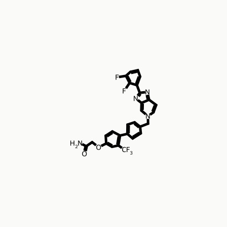 NC(=O)COc1ccc(-c2ccc(Cn3ccc4nc(-c5cccc(F)c5F)nc-4c3)cc2)c(C(F)(F)F)c1